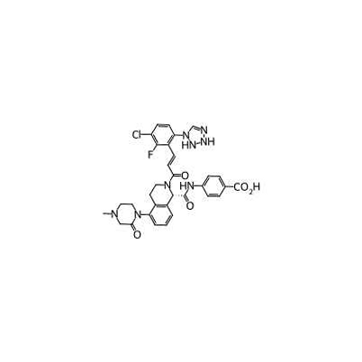 CN1CCN(c2cccc3c2CCN(C(=O)/C=C/c2c(N4C=NNN4)ccc(Cl)c2F)[C@@H]3C(=O)Nc2ccc(C(=O)O)cc2)C(=O)C1